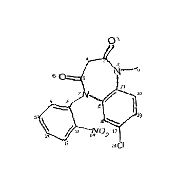 CN1C(=O)CC(=O)N(c2ccccc2[N+](=O)[O-])c2cc(Cl)ccc21